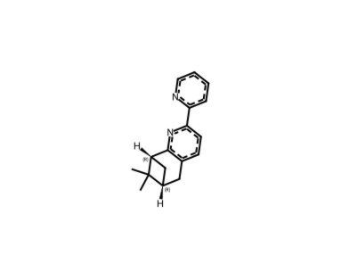 CC1(C)[C@H]2Cc3ccc(-c4ccccn4)nc3[C@@H]1C2